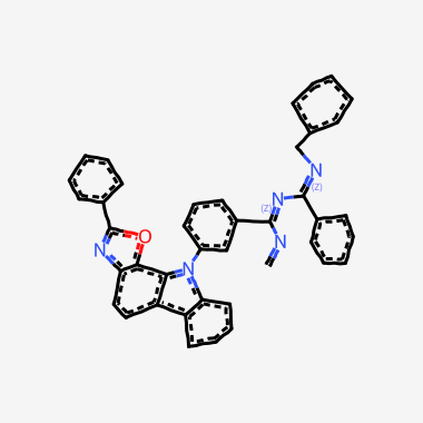 C=N/C(=N\C(=N/Cc1ccccc1)c1ccccc1)c1cccc(-n2c3ccccc3c3ccc4nc(-c5ccccc5)oc4c32)c1